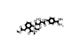 CNC(=O)c1c(CC(=O)OC)cccc1N1CCO[C@H]([C@@H](O)C(=O)Nc2ccc(C(=N)N)cc2)C1=O